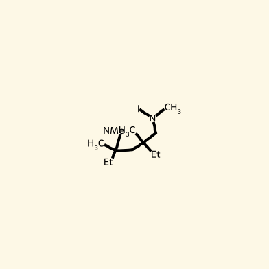 CCC(C)(CN(C)I)CC(C)(CC)NC